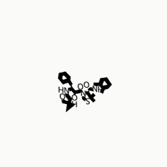 Cc1ccccc1CNC(=O)[C@H]1N(C(=O)[C@@H](O)[C@H](Cc2ccccc2)NC2=CC3(CC3)CO2)CSC1(C)C